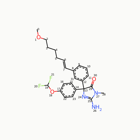 COCCCCC=Cc1cccc(C2(c3ccc(OC(F)F)cc3)N=C(N)N(C)C2=O)c1